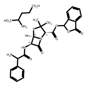 CC1(C)S[C@@H]2[C@H](NC(=O)C(N)c3ccccc3)C(=O)N2[C@H]1C(=O)OC1OC(=O)c2ccccc21.NC(CCC(=O)O)C(=O)O